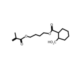 C=C(C)C(=O)OCCCCOC(=O)C1CCCCC1C(=O)O